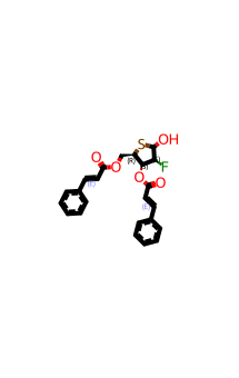 O=C(/C=C/c1ccccc1)OC[C@H]1SC(O)[C@@H](F)[C@@H]1OC(=O)/C=C/c1ccccc1